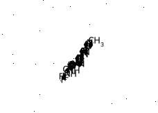 CN1CCN(c2ccc(-c3ccn4c(-c5cccc(NC(=O)NCC(F)(F)F)c5)cnc4c3)nn2)CC1